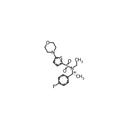 CCN([C@H](C)c1ccc(F)cc1)S(=O)(=O)c1ccc(N2CCOCC2)s1